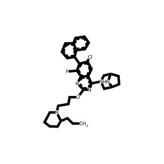 CCCC1CCCCN1CCCOc1nc(N2CC3CCC(C2)N3)c2cc(Cl)c(-c3cccc4ccccc34)c(F)c2n1